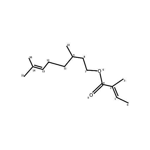 C/C=C(\C)C(=O)OCCC(C)CCC=C(C)C